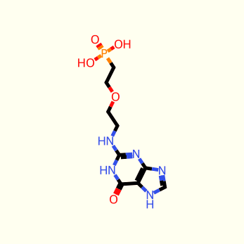 O=c1[nH]c(NCCOCCP(=O)(O)O)nc2nc[nH]c12